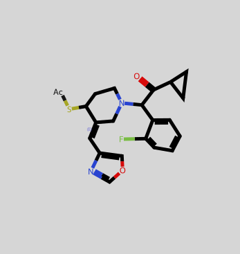 CC(=O)SC1CCN(C(C(=O)C2CC2)c2ccccc2F)C/C1=C\c1cocn1